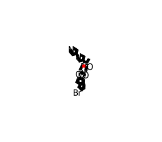 CCN(C1CCN(c2ccncc2)CC1)N1CCN(S(=O)(=O)c2ccc3cc(Br)ccc3c2)CC1=O